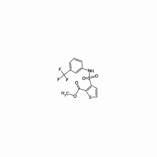 COC(=O)c1sccc1S(=O)(=O)Nc1cccc(C(F)(F)F)c1